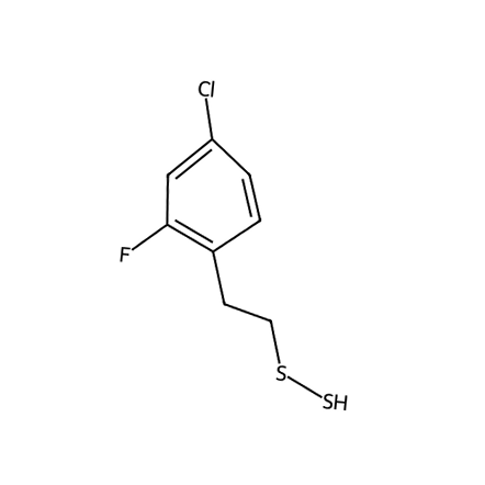 Fc1cc(Cl)ccc1CCSS